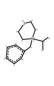 CC(C)[N+]1(Cc2ccccc2)CCSCC1